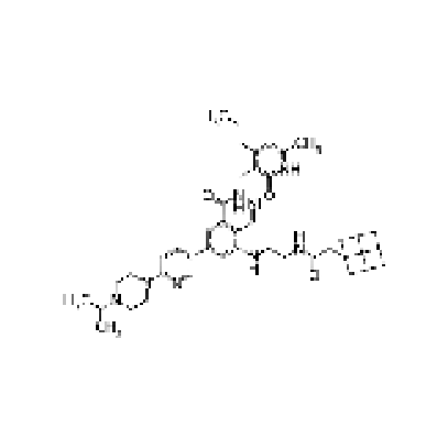 CCCc1cc(C)[nH]c(=O)c1CNC(=O)c1cc(-c2ccc(N3CCN(C(C)C)CC3)nc2)cc(NCCNC(=O)CC23CC4CC5CC(C2)C543)c1C=N